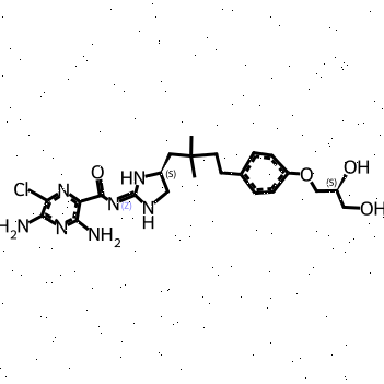 CC(C)(CCc1ccc(OC[C@@H](O)CO)cc1)C[C@H]1CN/C(=N/C(=O)c2nc(Cl)c(N)nc2N)N1